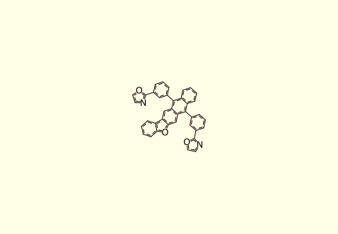 c1cc(-c2ncco2)cc(-c2c3ccccc3c(-c3cccc(-c4ncco4)c3)c3cc4c(cc23)oc2ccccc24)c1